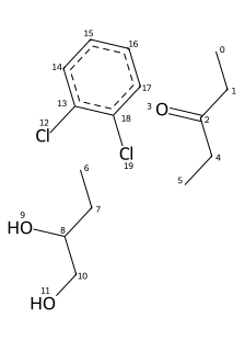 CCC(=O)CC.CCC(O)CO.Clc1ccccc1Cl